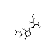 CCOC(=O)C(=CNc1ccc(Cl)c(C(=O)OC(C)C)c1Cl)C(C)=O